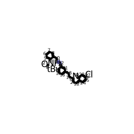 CC(C)(C)C(=O)Nc1ccccc1C/C=C/c1cccc(CCc2ccc3ccc(Cl)cc3n2)c1